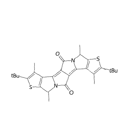 Cc1c(C(C)(C)C)sc2c1C1=C3C(=O)N4C(=C3C(=O)N1C2C)c1c(sc(C(C)(C)C)c1C)C4C